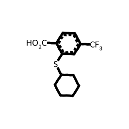 O=C(O)c1ccc(C(F)(F)F)cc1SC1CCCCC1